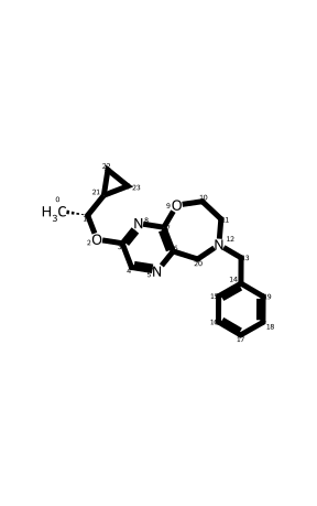 C[C@@H](Oc1cnc2c(n1)OCCN(Cc1ccccc1)C2)C1CC1